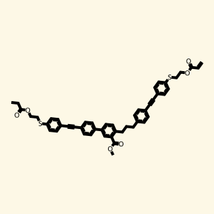 C=CC(=O)OCCSc1ccc(C#Cc2ccc(CCCc3ccc(-c4ccc(C#Cc5ccc(SCCOC(=O)CC)cc5)cc4)cc3C(=O)OC)cc2)cc1